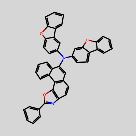 c1ccc(-c2nc3ccc4cc(N(c5ccc6c(c5)oc5ccccc56)c5ccc6oc7ccccc7c6c5)c5ccccc5c4c3o2)cc1